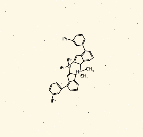 CC(C)c1cccc(-c2cccc3c2C=C2[CH]3[Hf]([CH3])([CH3])[CH]3C(=Cc4c(-c5cccc(C(C)C)c5)cccc43)[Si]2(C(C)C)C(C)C)c1